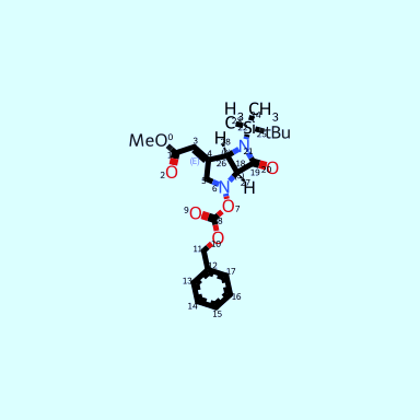 COC(=O)/C=C1\CN(OC(=O)OCc2ccccc2)[C@@H]2C(=O)N([Si](C)(C)C(C)(C)C)[C@H]12